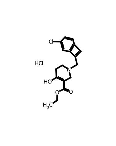 CCOC(=O)C1=C(O)CCN(CC2=Cc3ccc(Cl)cc32)C1.Cl